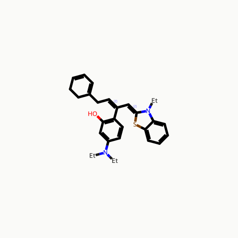 CCN(CC)c1ccc(C(=C\CC2=CC=CCC2)/C=C2\Sc3ccccc3N2CC)c(O)c1